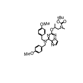 COc1ccc(CN(Cc2ccc(OC)cc2)c2nc(OC(C)CN(C)C(=O)OC(C)(C)C)nn3ccnc23)cc1